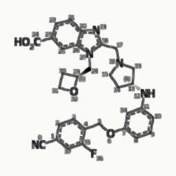 N#Cc1ccc(COc2cccc(N[C@@H]3CCN(Cc4nc5ccc(C(=O)O)cc5n4C[C@@H]4CCO4)C3)c2)c(F)c1